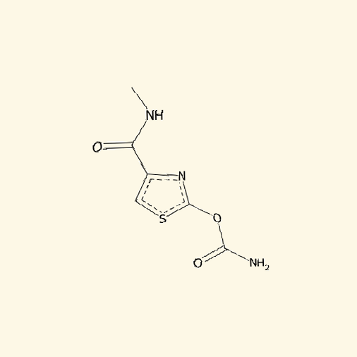 CNC(=O)c1csc(OC(N)=O)n1